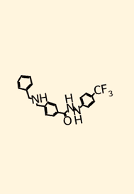 O=C(NNc1ccc(C(F)(F)F)cc1)c1ccc(CNCc2ccccc2)cc1